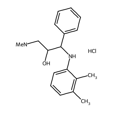 CNCC(O)C(Nc1cccc(C)c1C)c1ccccc1.Cl